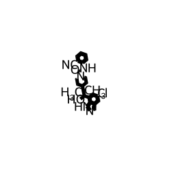 CC(C)(C1CCN(C(=O)Nc2ccccc2C#N)CC1)C(O)c1cc(Cl)cc2cn[nH]c12